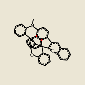 CN(c1ccc2c(c1)C1(c3ccccc3Oc3ccccc31)c1cc3ccccc3cc1-2)c1ccccc1-c1ccccc1